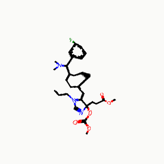 CCCN1C=NC(CCC(=O)OC)(OC(=O)OC)C1CC1CCC(C(c2cccc(F)c2)N(C)C)CC1